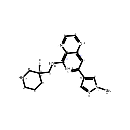 C=C(/C=c1/nccn/c1=C(/N)NC[C@]1(F)CCCNC1)c1cnn(C(C)(C)C)c1